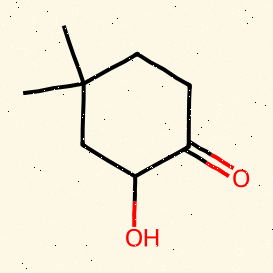 CC1(C)CCC(=O)C(O)C1